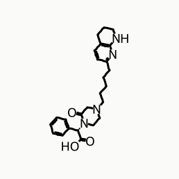 O=C(O)[C@H](c1ccccc1)N1CCN(CCCCCc2ccc3c(n2)NCCC3)CC1=O